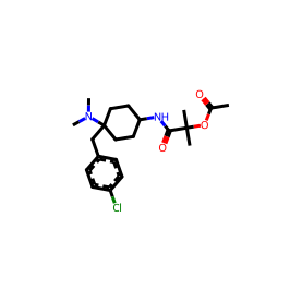 CC(=O)OC(C)(C)C(=O)NC1CCC(Cc2ccc(Cl)cc2)(N(C)C)CC1